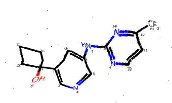 OC1(c2cncc(Nc3nccc(C(F)(F)F)n3)c2)CCC1